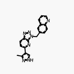 Cc1n[nH]cc1-c1ccc2nnn(Cc3ccc4ncccc4c3)c2n1